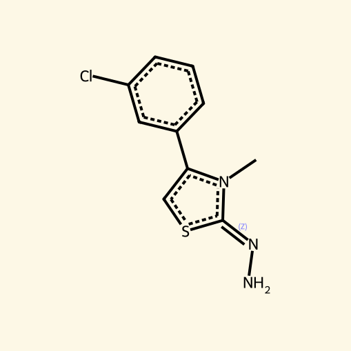 Cn1c(-c2cccc(Cl)c2)cs/c1=N\N